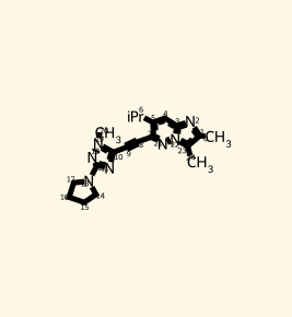 Cc1nc2cc(C(C)C)c(C#Cc3nc(N4CCCC4)nn3C)nn2c1C